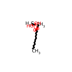 CCCCCCCCCCCCCC(=O)OC(CC)OC(O)C(C)O